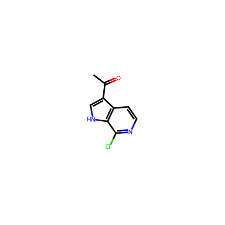 CC(=O)c1c[nH]c2c(Cl)nccc12